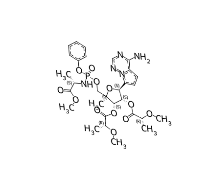 COC(=O)[C@H](C)NP(=O)(OC[C@@]1(C)O[C@@H](c2ccc3c(N)ncnn23)[C@H](OC(=O)[C@@H](C)OC)[C@@H]1OC(=O)[C@@H](C)OC)Oc1ccccc1